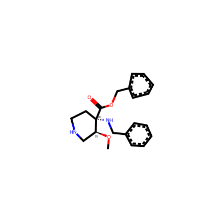 CO[C@H]1CNCC[C@@]1(NCc1ccccc1)C(=O)OCc1ccccc1